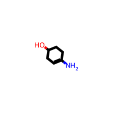 NC1=CCC(O)CC1